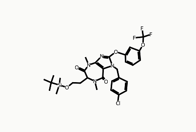 CN1C(=O)C(CCO[Si](C)(C)C(C)(C)C)N(C)C(=O)c2c1nc(Oc1cccc(OC(F)(F)F)c1)n2Cc1ccc(Cl)cc1